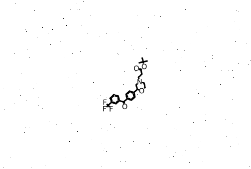 CC(C)(C)OC(=O)CCN1CCOC(c2ccc(C(=O)c3cccc(C(F)(F)F)c3)cc2)C1